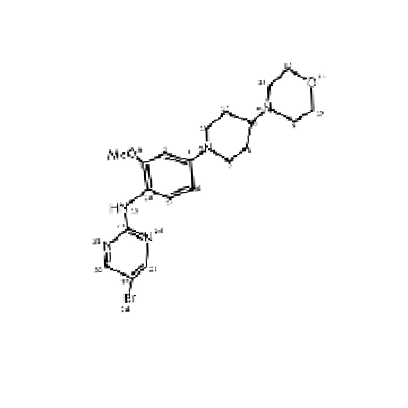 COc1cc(N2CCC(N3CCOCC3)CC2)ccc1Nc1ncc(Br)cn1